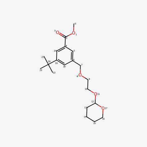 COC(=O)c1cc(COCCOC2CCCCO2)cc(C(C)(C)C)c1